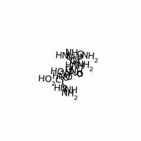 N=C(N)NCCCC(NC(=O)[C@H](CO)NC(=O)[C@H](Cc1ccccc1)NC(=O)[C@H](CCCNC(=N)N)NC(=O)[C@@H](N)CCC(N)=O)C(=O)O